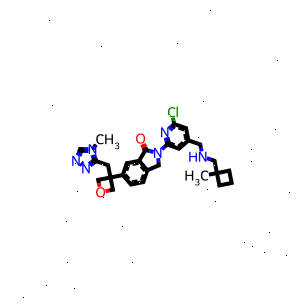 Cn1cnnc1CC1(c2ccc3c(c2)C(=O)N(c2cc(CNCC4(C)CCC4)cc(Cl)n2)C3)COC1